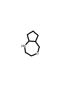 C1CC2COCCNC2C1